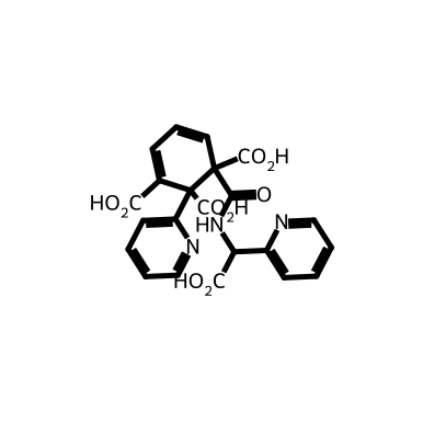 O=C(O)C1=CC=CC(C(=O)O)(C(=O)NC(C(=O)O)c2ccccn2)C1(C(=O)O)c1ccccn1